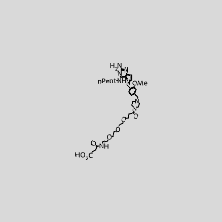 CCCCCNc1nc(N)nc2ccn(Cc3ccc(CN4CCN(C(=O)CCOCCOCCOCCNC(=O)CCC(=O)O)CC4)cc3OC)c12